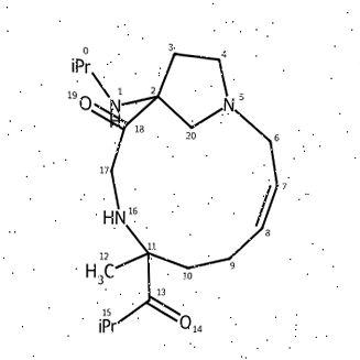 CC(C)NC12CCN(CC=CCCC(C)(C(=O)C(C)C)NCC1=O)C2